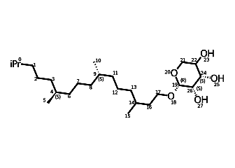 CC(C)CCC[C@H](C)CCC[C@H](C)CCCC(C)CCO[C@@H]1OCC(O)[C@H](O)[C@@H]1O